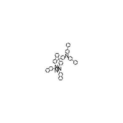 c1ccc(-c2ccc(N(c3ccc(-c4ccccc4)cc3)c3ccc(C4(c5cccc(-c6nc(-c7ccc8ccccc8c7)nc(-c7ccc8ccccc8c7)n6)c5)c5ccccc5-c5ccccc54)cc3)cc2)cc1